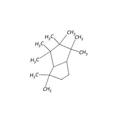 CC1(C)CCC2C1C(C)(C)C(C)(C)C2(C)C